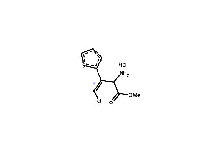 COC(=O)C(N)/C(=C\Cl)c1cccs1.Cl